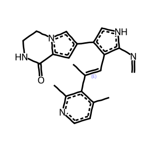 C=Nc1[nH]cc(-c2cc3n(c2)CCNC3=O)c1/C=C(\C)c1c(C)ccnc1C